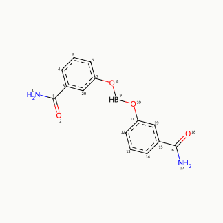 NC(=O)c1cccc(OBOc2cccc(C(N)=O)c2)c1